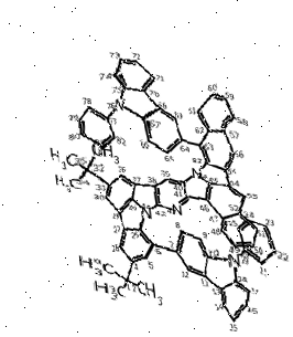 CC(C)(C)c1cc(-c2ccc3c(c2)c2ccccc2n3-c2ccccc2)c2c(c1)c1cc(C(C)(C)C)cc3c4cc5c(nc4n2c31)c1c2ccccc2cc2c3cc4ccccc4c(-c4ccc6c(c4)c4ccccc4n6-c4ccccc4)c3n5c21